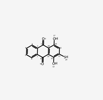 O=C1c2ccccc2C(=O)c2c(O)c(S)cc(O)c21